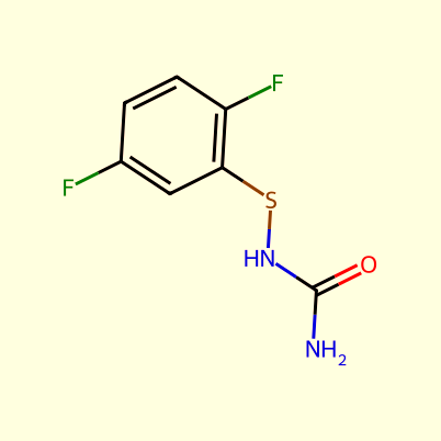 NC(=O)NSc1cc(F)ccc1F